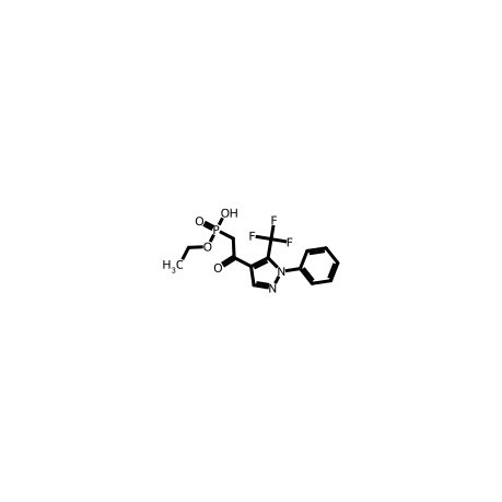 CCOP(=O)(O)CC(=O)c1cnn(-c2ccccc2)c1C(F)(F)F